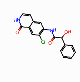 O=C(Nc1cc2cc[nH]c(=O)c2cc1Cl)C(O)c1ccccc1